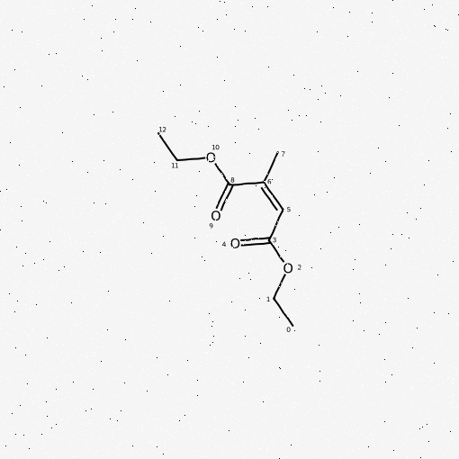 CCOC(=O)C=C(C)C(=O)OCC